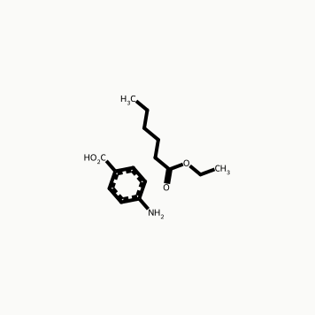 CCCCCC(=O)OCC.Nc1ccc(C(=O)O)cc1